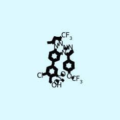 Cc1cc(C(F)(F)F)nn1-c1ccc(-c2cc(Cl)c(CO)c(S(C)(=O)=O)c2)cc1-n1nncc1-c1ccc(OC(F)(F)F)cc1